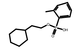 Cc1ccccc1P(=O)(O)OCCC1CCCCC1